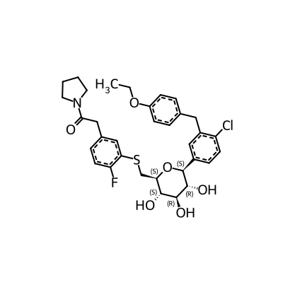 CCOc1ccc(Cc2cc([C@@H]3O[C@H](CSc4cc(CC(=O)N5CCCC5)ccc4F)[C@@H](O)[C@H](O)[C@H]3O)ccc2Cl)cc1